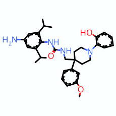 COc1cccc(C2(CNC(=O)Nc3c(C(C)C)cc(N)cc3C(C)C)CCN(c3ccccc3O)CC2)c1